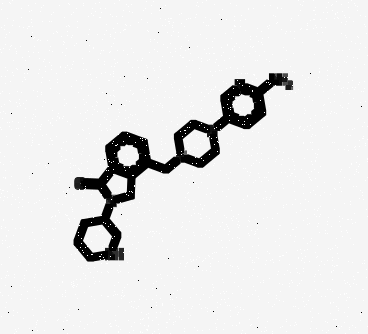 Nc1ccc(N2CCN(Cc3cccc4c3CN(C3CCCNC3)C4=O)CC2)cn1